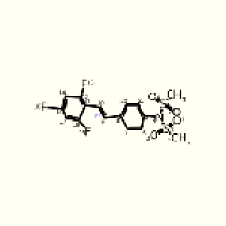 CS(=O)(=O)N(c1ccc(/C=C/c2c(F)cc(F)cc2F)cc1)S(C)(=O)=O